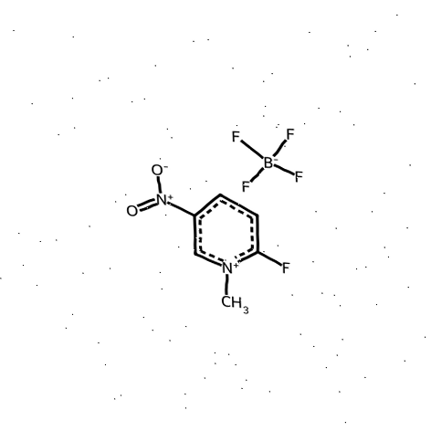 C[n+]1cc([N+](=O)[O-])ccc1F.F[B-](F)(F)F